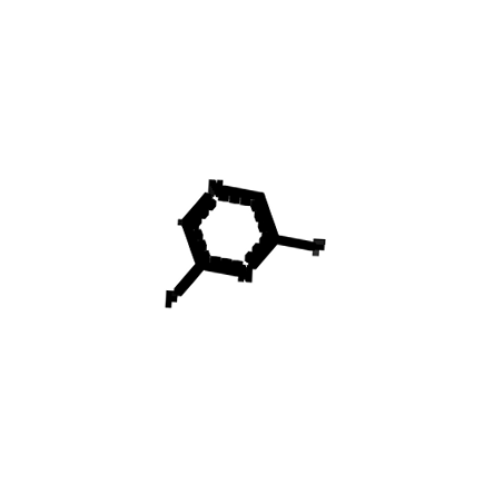 Fc1[c]ncc(F)n1